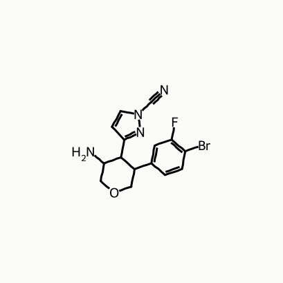 N#Cn1ccc(C2C(N)COCC2c2ccc(Br)c(F)c2)n1